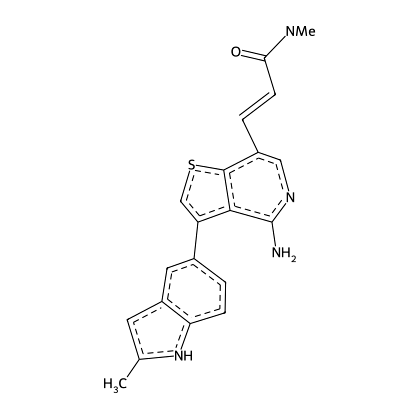 CNC(=O)/C=C/c1cnc(N)c2c(-c3ccc4[nH]c(C)cc4c3)csc12